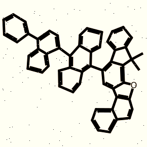 CC1(C)c2ccccc2-c2c(-c3c4ccccc4c(-c4ccc(-c5ccccc5)c5ccccc45)c4ccccc34)cc3c(oc4ccc5ccccc5c43)c21